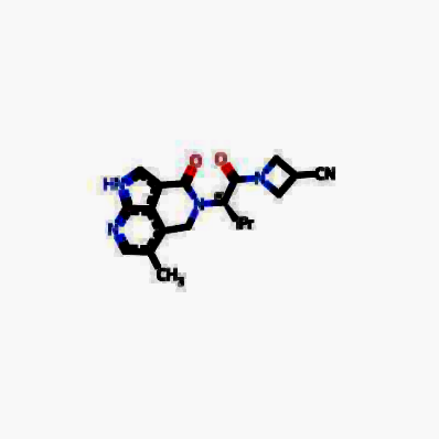 Cc1cnc2[nH]cc3c2c1CN([C@@H](C(=O)N1CC(C#N)C1)C(C)C)C3=O